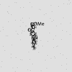 COc1ccc(C(=O)N2CCc3cnc(N4CCN(C5CCC5)CC4)nc3CC2)cc1Cl